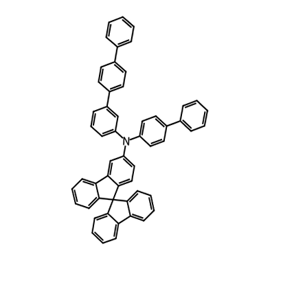 c1ccc(-c2ccc(-c3cccc(N(c4ccc(-c5ccccc5)cc4)c4ccc5c(c4)-c4ccccc4C54c5ccccc5-c5ccccc54)c3)cc2)cc1